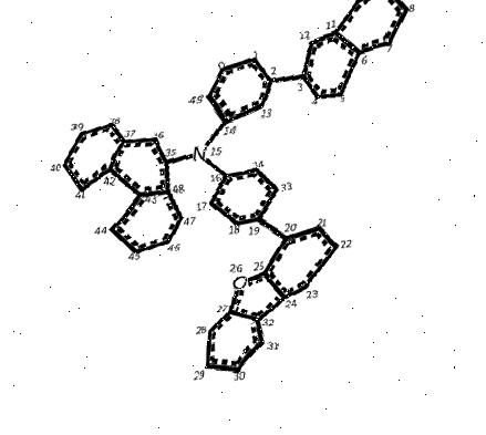 c1cc(-c2ccc3ccccc3c2)cc(N(c2ccc(-c3cccc4c3oc3ccccc34)cc2)c2cc3ccccc3c3ccccc23)c1